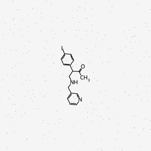 CC(=O)C(CNCc1cccnc1)c1ccc(I)cc1